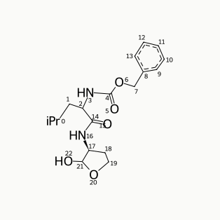 CC(C)CC(NC(=O)OCc1ccccc1)C(=O)N[C@H]1CCOC1O